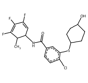 CC1C(F)=C(F)C(F)=CC1NC(=O)c1ccc(Cl)c(SC2CCC(O)CC2)c1